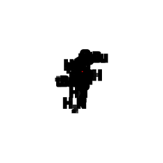 CC(C)(C)OC(=O)N[C@H]1C[C@@H](NC(=O)C2(O)CCN(C(=O)OC(C)(C)C)C2)C[C@@H](O)[C@@H]1O[C@@H]1CCC=C(CNCCCN)O1